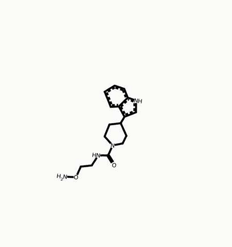 NOCCNC(=O)N1CCC(c2c[nH]c3ccccc23)CC1